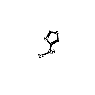 CCNc1cs[c]n1